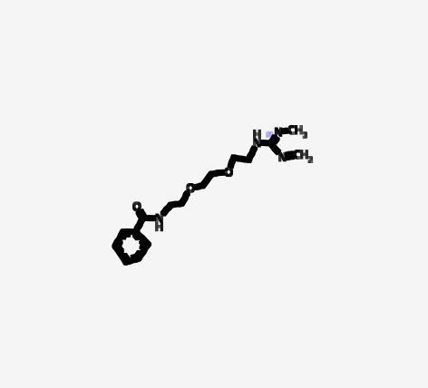 C=N/C(=N\C)NCCOCCOCCNC(=O)c1ccccc1